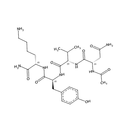 CC(=O)N[C@@H](CC(N)=O)C(=O)N[C@H](C(=O)N[C@@H](Cc1ccc(O)cc1)C(=O)N[C@@H](CCCCN)C(N)=O)C(C)C